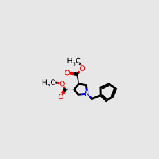 COC(=O)[C@H]1CN(Cc2ccccc2)C[C@@H]1C(=O)OC